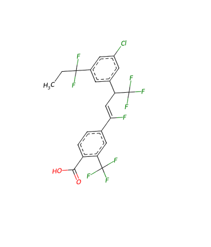 CCC(F)(F)c1cc(Cl)cc(C(C=C(F)c2ccc(C(=O)O)c(C(F)(F)F)c2)C(F)(F)F)c1